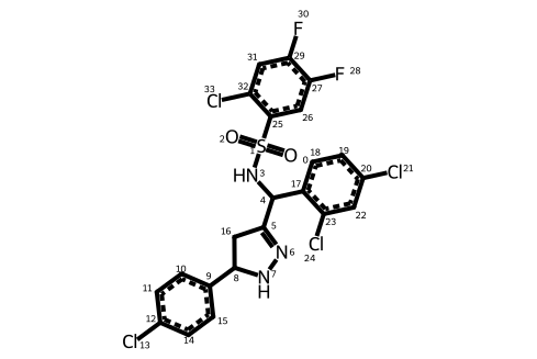 O=S(=O)(NC(C1=NNC(c2ccc(Cl)cc2)C1)c1ccc(Cl)cc1Cl)c1cc(F)c(F)cc1Cl